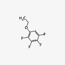 CCOc1[c]c(F)c(F)c(F)c1F